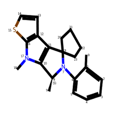 Cc1ccccc1N1[C@@H](C)c2c(c3ccsc3n2C)C12CCCC2